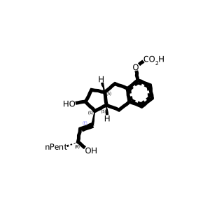 CCCCC[C@@H](O)/C=C/[C@H]1C(O)C[C@@H]2Cc3c(cccc3OC(=O)O)C[C@@H]21